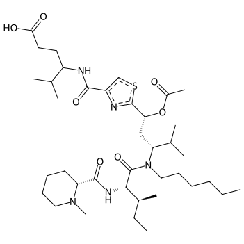 CCCCCCN(C(=O)[C@@H](NC(=O)[C@H]1CCCCN1C)[C@@H](C)CC)[C@H](C[C@@H](OC(C)=O)c1nc(C(=O)NC(CCC(=O)O)C(C)C)cs1)C(C)C